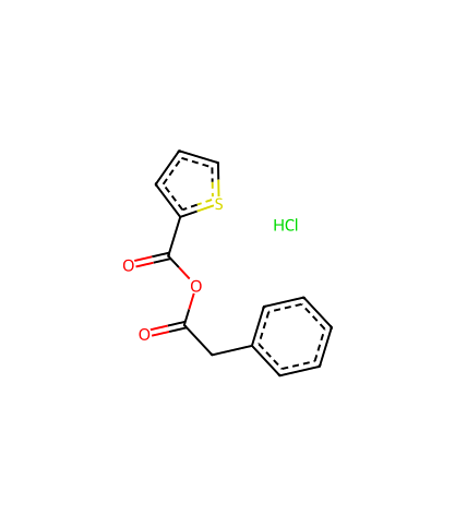 Cl.O=C(Cc1ccccc1)OC(=O)c1cccs1